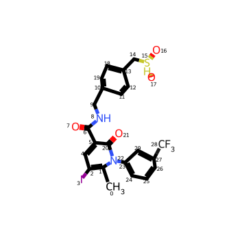 Cc1c(I)cc(C(=O)NCc2ccc(C[SH](=O)=O)cc2)c(=O)n1-c1cccc(C(F)(F)F)c1